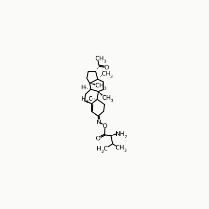 CC(=O)[C@H]1CC[C@@]2(C)[C@@H]3CCC4=C/C(=N/OC(=O)[C@@H](N)C(C)C)CC[C@]4(C)[C@@]3(C)CC[C@]12C